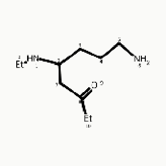 CCNC(CCCN)CC(=O)CC